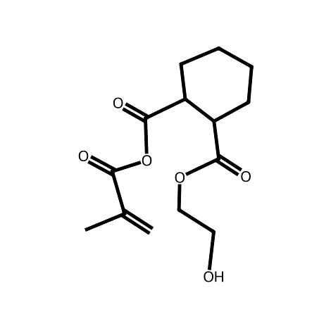 C=C(C)C(=O)OC(=O)C1CCCCC1C(=O)OCCO